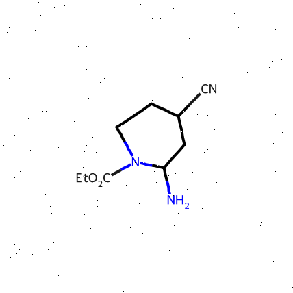 CCOC(=O)N1CCC(C#N)CC1N